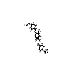 CCCC1CCC(CCc2ccc(CCC3CCC(CCC)CC3)c(F)c2F)CC1